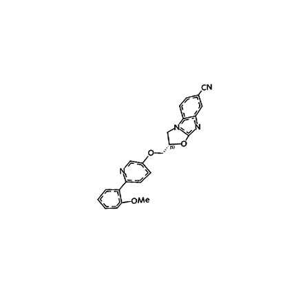 COc1ccccc1-c1ccc(OC[C@@H]2Cn3c(nc4cc(C#N)ccc43)O2)cn1